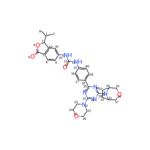 CC(C)C1OC(=O)c2ccc(NC(=O)Nc3ccc(-c4nc(N5CCOCC5)nc(N5C6CCC5COC6)n4)cc3)cc21